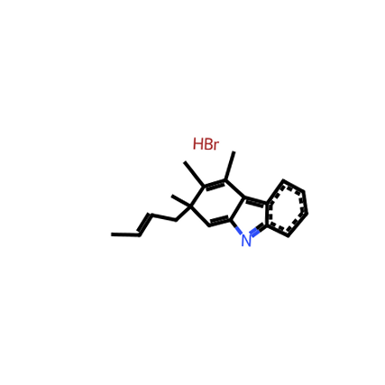 Br.CC=CCC1(C)C=C2N=c3ccccc3=C2C(C)=C1C